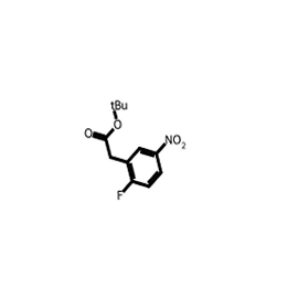 CC(C)(C)OC(=O)Cc1cc([N+](=O)[O-])ccc1F